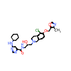 Cc1ncoc1COc1ccc2c(c1Cl)CCN(C[C@@H](O)CNC(=O)c1cc(NC3CCCCC3)ncn1)C2